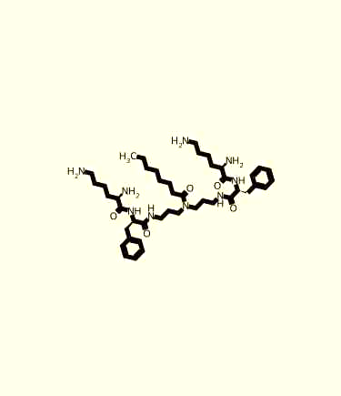 CCCCCCCC(=O)N(CCCNC(=O)[C@@H](Cc1ccccc1)NC(=O)[C@H](N)CCCCN)CCCNC(=O)[C@@H](Cc1ccccc1)NC(=O)[C@H](N)CCCCN